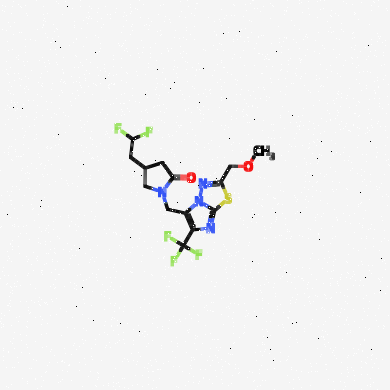 COCc1nn2c(CN3CC(CC(F)F)CC3=O)c(C(F)(F)F)nc2s1